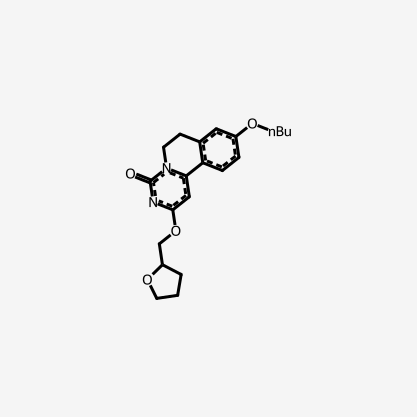 CCCCOc1ccc2c(c1)CCn1c-2cc(OCC2CCCO2)nc1=O